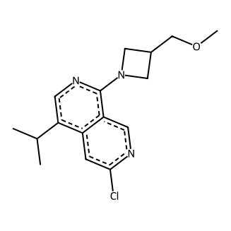 COCC1CN(c2ncc(C(C)C)c3cc(Cl)ncc23)C1